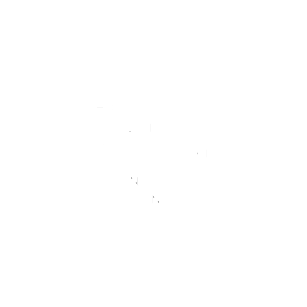 CC(C)(C)C1=NN=[C]C1(C)C